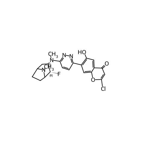 CN1C2CCC1[C@@H](F)[C@@H](N(C)c1ccc(-c3cc4oc(Cl)cc(=O)c4cc3O)nn1)C2